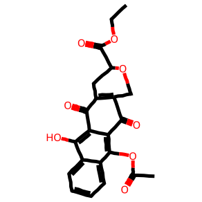 CCOC(=O)C1CC2=C(CO1)C(=O)c1c(c(O)c3ccccc3c1OC(C)=O)C2=O